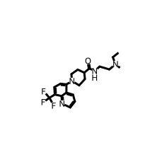 CCN(C)CCNC(=O)C1CCN(c2ccc(C(F)(F)F)c3ncccc23)CC1